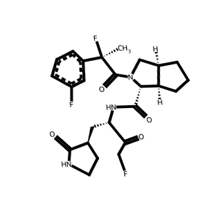 C[C@](F)(C(=O)N1C[C@H]2CCC[C@H]2[C@@H]1C(=O)N[C@@H](C[C@H]1CCNC1=O)C(=O)CF)c1cccc(F)c1